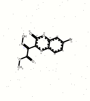 COC(=O)/C(=N/O)c1nc2ccc(Br)cc2oc1=O